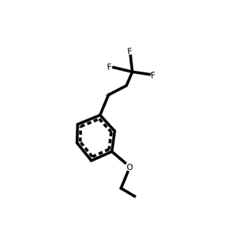 CCOc1cccc([CH]CC(F)(F)F)c1